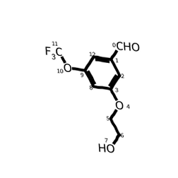 O=Cc1cc(OCCO)cc(OC(F)(F)F)c1